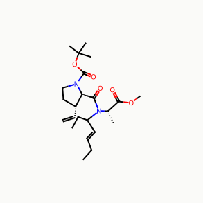 C=C[C@@H]1CCN(C(=O)OC(C)(C)C)[C@H]1C(=O)N(C(/C=C/CC)CC)[C@@H](C)C(=O)OC